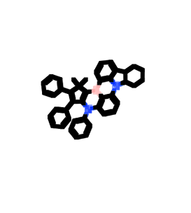 CC1(C)C2=C(C(c3ccccc3)=C1c1ccccc1)N(c1ccccc1)c1cccc3c1B2c1cccc2c1N3C1CCCCC21